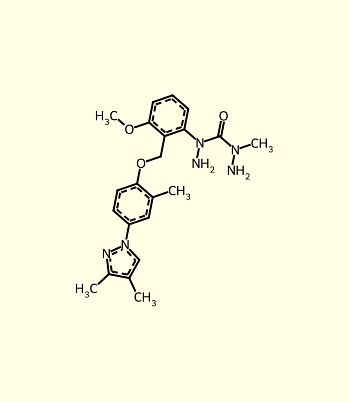 COc1cccc(N(N)C(=O)N(C)N)c1COc1ccc(-n2cc(C)c(C)n2)cc1C